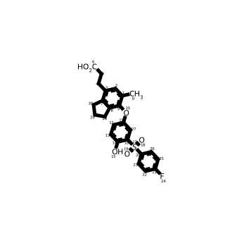 Cc1cc(CCC(=O)O)c2c(c1Oc1ccc(O)c(S(=O)(=O)c3ccc(F)cc3)c1)CCC2